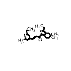 CCc1cc(C=CC(=O)c2sc(CC)c3c2CCC(C)(C)C3)cc(C)n1